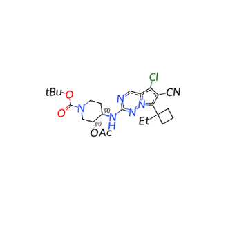 CCC1(c2c(C#N)c(Cl)c3cnc(N[C@@H]4CCN(C(=O)OC(C)(C)C)C[C@H]4OC(C)=O)nn23)CCC1